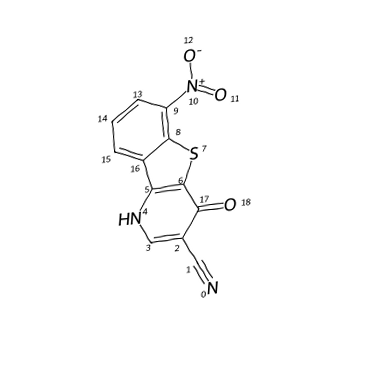 N#Cc1c[nH]c2c(sc3c([N+](=O)[O-])cccc32)c1=O